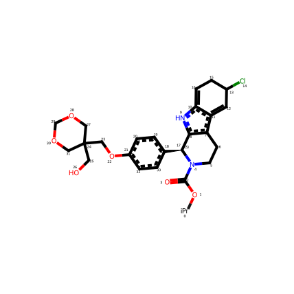 CC(C)OC(=O)N1CCc2c([nH]c3c2=CC(Cl)CC=3)[C@@H]1c1ccc(OCC2(CO)COCOC2)cc1